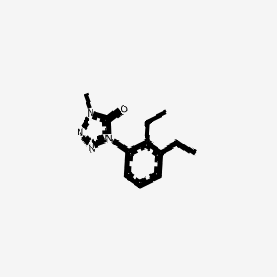 CCc1cccc(-n2nnn(C)c2=O)c1CC